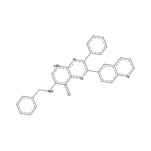 O=c1c(NCc2ccccc2)c[nH]c2nc(-c3ccccc3)c(-c3ccc4ncccc4c3)nc12